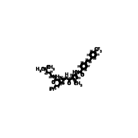 CC(C)CCc1sc(NC(=O)c2cc(NC(=O)c3ccc(/C=C/c4ccc(C(F)(F)F)cc4)cc3)cn2C)nc1C(=O)NCCCN(C)C